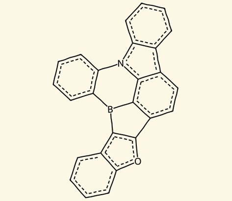 c1ccc2c(c1)B1c3c(oc4ccccc34)-c3ccc4c5ccccc5n-2c4c31